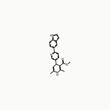 COC(=O)C1=C(C)NC(C)=CC1c1ccc(-c2ccc3[nH]ccc3c2)nc1